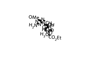 CCOC(=O)[C@@H](C)OP1(=O)OC[C@H]2O[C@@H](n3cnc4c(OC)nc(N)nc43)C(C)(O)[C@@H]2O1